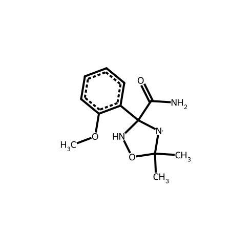 COc1ccccc1C1(C(N)=O)[N]C(C)(C)ON1